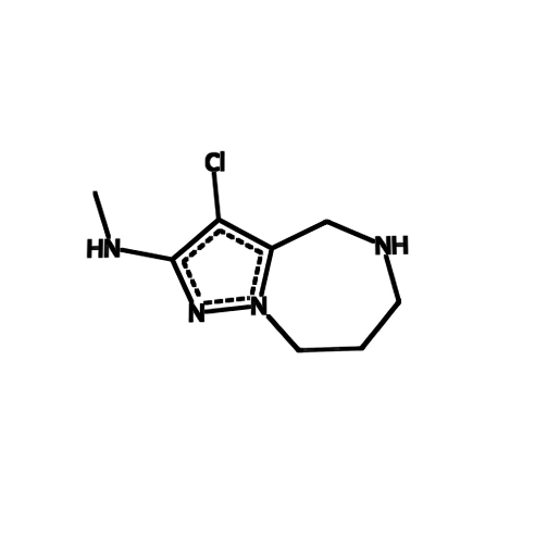 CNc1nn2c(c1Cl)CNCCC2